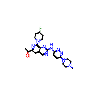 CC(O)c1cc2cnc(Nc3ccc(N4CCN(C)CC4)nn3)nc2c(N2CCC(F)CC2)n1